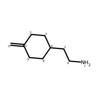 C=C1CCC(CCN)CC1